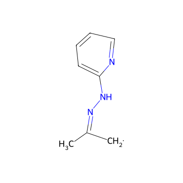 [CH2]/C(C)=N\Nc1ccccn1